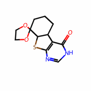 O=c1[nH]cnc2c1C1CCCC3(OCCO3)C1S2